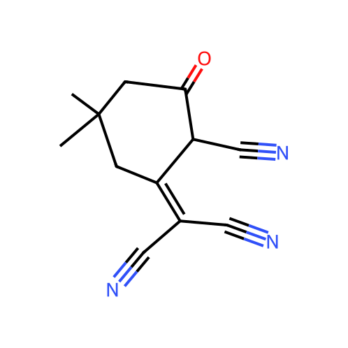 CC1(C)CC(=O)C(C#N)C(=C(C#N)C#N)C1